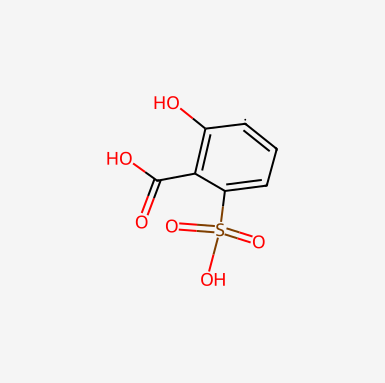 O=C(O)c1c(O)[c]ccc1S(=O)(=O)O